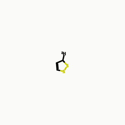 [2H]C1C=CSS1